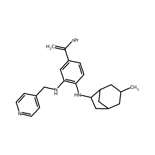 C=C(CCC)c1ccc(NC2CC3CC(C)CC2C3)c(NCc2ccncc2)c1